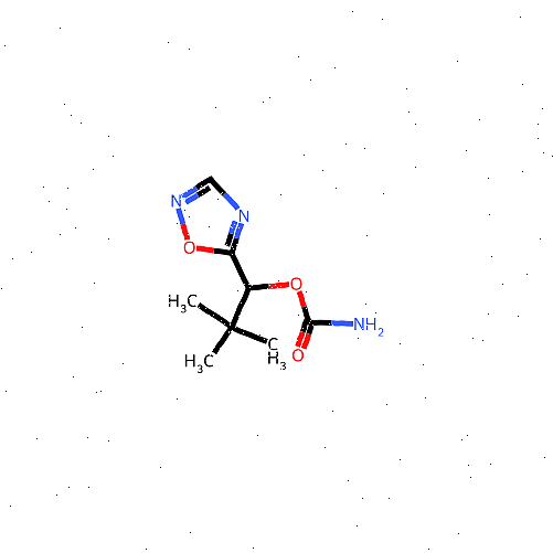 CC(C)(C)C(OC(N)=O)c1ncno1